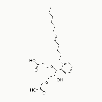 CCCCCCC=CCCCCc1ccccc1C(SCCC(=O)O)C(O)CSCC(=O)O